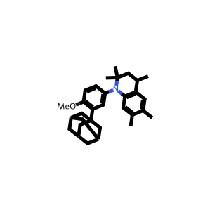 COc1ccc(N2c3cc(C)c(C)cc3C(C)CC2(C)C)cc1C12CC3CC(CC(C3)C1)C2